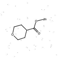 CC(C)OC(=O)C1CCOCC1